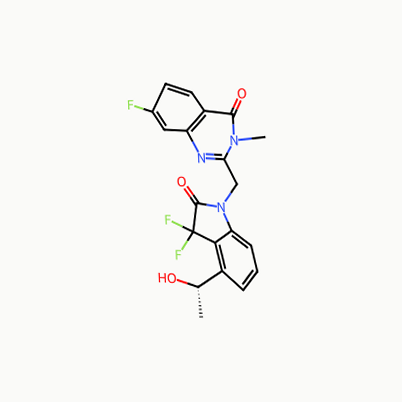 C[C@H](O)c1cccc2c1C(F)(F)C(=O)N2Cc1nc2cc(F)ccc2c(=O)n1C